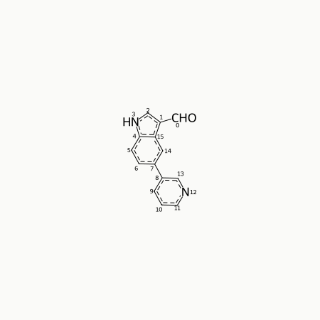 O=Cc1c[nH]c2ccc(-c3cccnc3)cc12